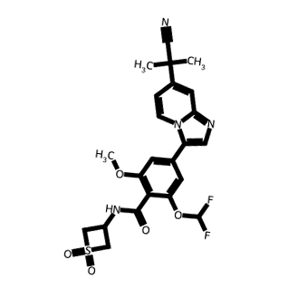 COc1cc(-c2cnc3cc(C(C)(C)C#N)ccn23)cc(OC(F)F)c1C(=O)NC1CS(=O)(=O)C1